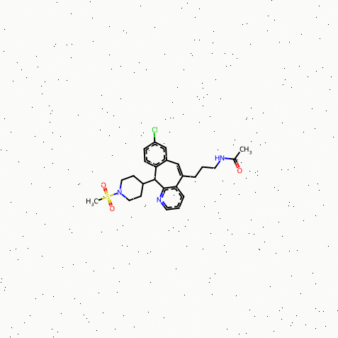 CC(=O)NCCCC1=Cc2cc(Cl)ccc2C(C2CCN(S(C)(=O)=O)CC2)c2ncccc21